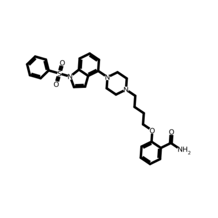 NC(=O)c1ccccc1OCCCCN1CCN(c2cccc3c2ccn3S(=O)(=O)c2ccccc2)CC1